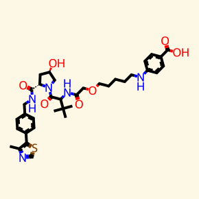 Cc1ncsc1-c1ccc(CNC(=O)[C@@H]2C[C@@H](O)CN2C(=O)C(NC(=O)COCCCCCNc2ccc(C(=O)O)cc2)C(C)(C)C)cc1